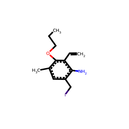 C=Cc1c(N)c(CI)cc(C)c1OCCC